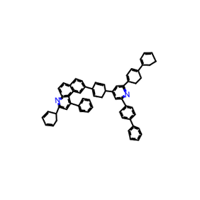 C1=CCCC(C2=CC=C(c3cc(C4C=CC(c5ccc6ccc7nc(C8C=CC=CC8)cc(-c8ccccc8)c7c6c5)=CC4)cc(-c4ccc(-c5ccccc5)cc4)n3)CC2)=C1